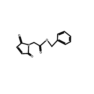 O=C(CN1C(=O)C=CC1=O)OCc1ccccc1